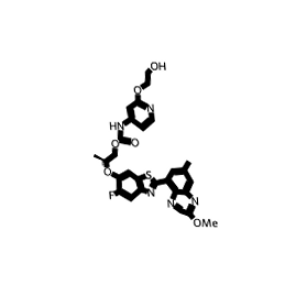 COc1cnc2c(-c3nc4cc(F)c(O[C@@H](C)COC(=O)Nc5ccnc(OCCO)c5)cc4s3)cc(C)cc2n1